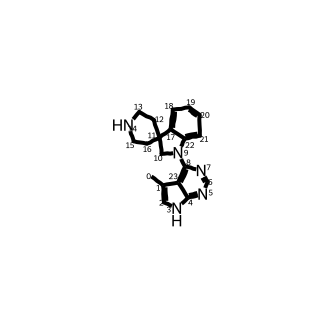 Cc1c[nH]c2ncnc(N3CC4(CCNCC4)c4ccccc43)c12